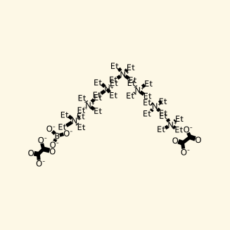 CC[N+](CC)(CC)CC.CC[N+](CC)(CC)CC.CC[N+](CC)(CC)CC.CC[N+](CC)(CC)CC.CC[N+](CC)(CC)CC.CC[N+](CC)(CC)CC.CC[N+](CC)(CC)CC.O=C([O-])C(=O)[O-].O=C([O-])C(=O)[O-].[O-]B([O-])[O-]